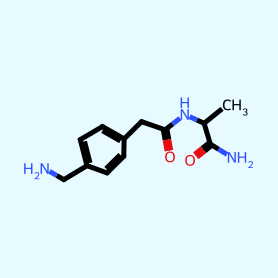 CC(NC(=O)Cc1ccc(CN)cc1)C(N)=O